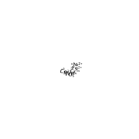 [Co+2].[Cr+3].[Fe+2].[Mn+2].[Ni+2].[O-2]